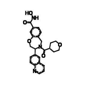 O=C(NO)c1ccc2c(c1)OCC(c1ccc3ncccc3c1)N(C(=O)C1CCOCC1)C2